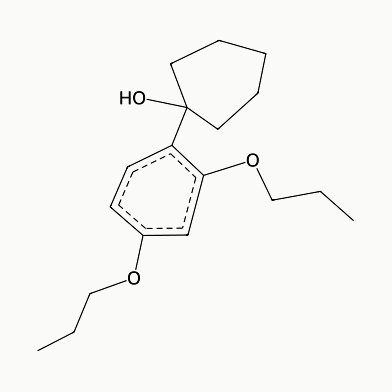 CCCOc1ccc(C2(O)CCCCC2)c(OCCC)c1